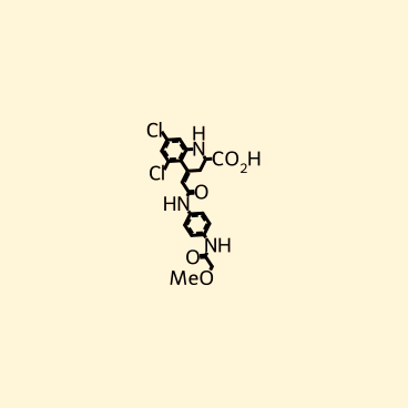 COCC(=O)Nc1ccc(NC(=O)C=C2CC(C(=O)O)Nc3cc(Cl)cc(Cl)c32)cc1